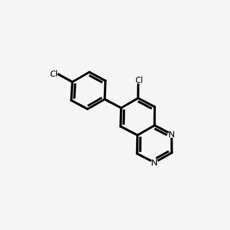 Clc1ccc(-c2cc3cncnc3cc2Cl)cc1